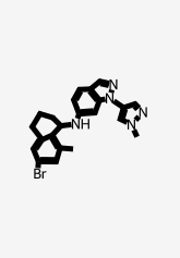 Cc1cc(Br)cc2c1C(Nc1ccc3cnn(-c4cnn(C)c4)c3c1)CCC2